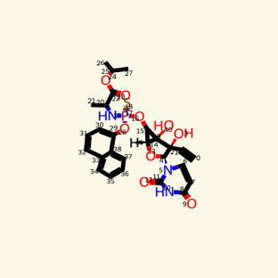 C#C[C@]1(O)[C@H](n2ccc(=O)[nH]c2=O)O[C@@H]2C(OP(=S)(NC(C)C(=O)OC(C)C)Oc3cccc4ccccc34)[C@@]21O